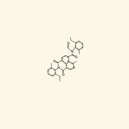 CCc1cccc(C)c1N(C=O)C(=O)c1ccc2c3c(ccc(C)c13)C(=O)N(c1c(C)cccc1CC)C2=O